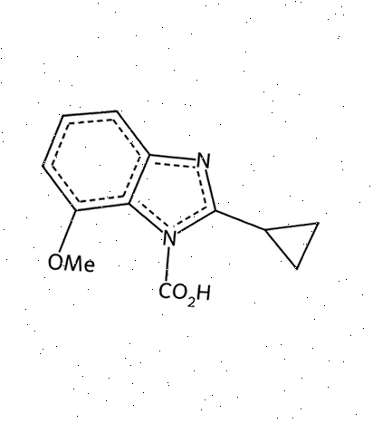 COc1cccc2nc(C3CC3)n(C(=O)O)c12